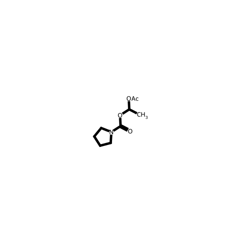 CC(=O)OC(C)OC(=O)N1CCCC1